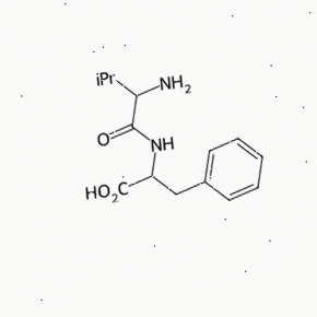 CC(C)C(N)C(=O)NC(Cc1ccccc1)C(=O)O